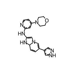 C1=CC2NC(Nc3cc(N4CCOCC4)ccn3)=CN2C=C1c1cn[nH]c1